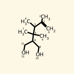 C=C(C)C(C)C(C)(C)C(CO)CO